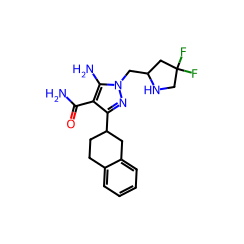 NC(=O)c1c(C2CCc3ccccc3C2)nn(CC2CC(F)(F)CN2)c1N